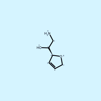 NCC(O)[C@@H]1C=CCO1